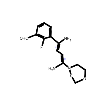 N/C(=C\C=C(/N)N1CCOCC1)c1cccc(C=O)c1F